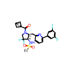 CCS(=O)(=O)N[C@@H]1[C@H](Cc2cccc(-c3cc(F)cc(F)c3)n2)N(C(=O)C23CC(C2)C3)CC1(F)F